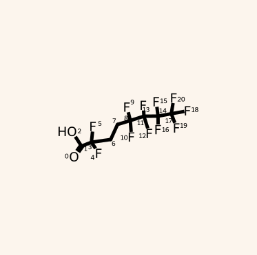 O=C(O)C(F)(F)CCC(F)(F)C(F)(F)C(F)(F)C(F)(F)F